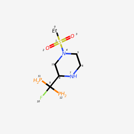 CCS(=O)(=O)N1CCNC(C(F)(P)P)C1